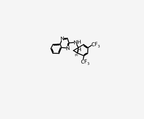 FC(F)(F)C1=CC2(Nc3cnc4ccccc4n3)C[C@@H]2C(C(F)(F)F)=C1